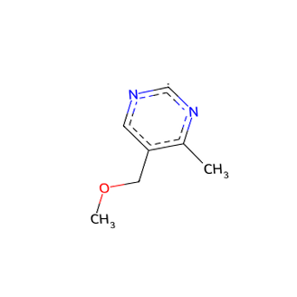 COCc1cn[c]nc1C